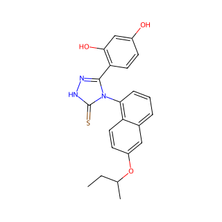 CCC(C)Oc1ccc2c(-n3c(-c4ccc(O)cc4O)n[nH]c3=S)cccc2c1